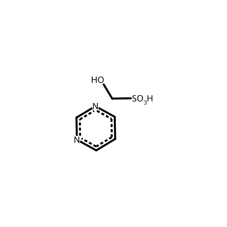 O=S(=O)(O)CO.c1cncnc1